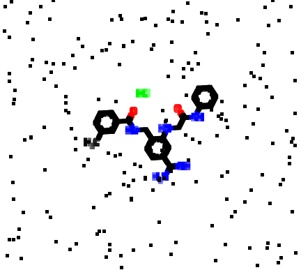 Cc1cccc(C(=O)NCc2ccc(C(=N)N)cc2NCC(=O)Nc2ccccc2)c1.Cl